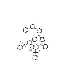 CCCC(C)(c1ccccc1)c1cccc(-c2cc(-n3c4ccccc4c4ccc5c(c6ccccc6n5-c5cccc(-c6cccc(-c7ccccc7)c6)c5)c43)cc(C(C)(CC)c3ccccc3)c2C(C)(C)C)c1